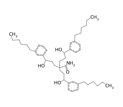 CCCCCCc1cccc(C(O)CCC(CCC(O)c2cccc(CCCCCC)c2)(CCC(O)c2cccc(CCCCCC)c2)C(N)=O)c1